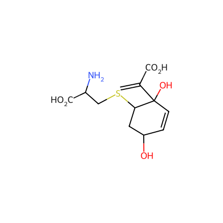 C=C(C(=O)O)C1(O)C=CC(O)CC1SCC(N)C(=O)O